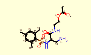 CC(=O)OCCNC(=O)C(CN)NS(=O)(=O)c1c(C)cc(C)cc1C